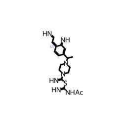 CC(=O)NC(=N)SC(=N)N1CCN(C(C)C2=CC(=N)/C(=C\C=N)C=C2)CC1